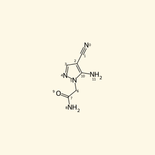 N#Cc1cnn(CC(N)=O)c1N